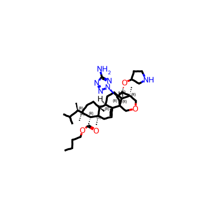 CCCCOC(=O)[C@@H]1[C@@](C)([C@H](C)C(C)C)CC[C@]2(C)[C@H]3CC[C@@H]4C5(COC[C@]4(C)[C@@H](OC4CCNC4)[C@H](n4nnc(N)n4)C5)C3=CC[C@@]12C